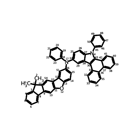 CC1(C)c2ccccc2-c2cc3oc4ccc(N(c5ccccc5)c5ccc6c(c5)c5c7ccccc7c7ccccc7c5n6-c5ccccc5)cc4c3cc21